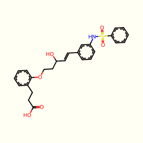 O=C(O)CCc1ccccc1OCCC(O)C=Cc1cccc(NS(=O)(=O)c2ccccc2)c1